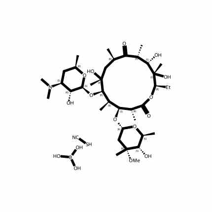 CC[C@H]1OC(=O)[C@H](C)[C@@H](O[C@H]2C[C@@](C)(OC)[C@@H](O)[C@H](C)O2)[C@@H](C)[C@@H](O[C@@H]2O[C@H](C)C[C@H](N(C)C)[C@H]2O)[C@](C)(O)C[C@@H](C)C(=O)[C@H](C)[C@H](O)[C@]1(C)O.N#CS.OB(O)O